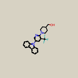 OCC1CCN(c2ncc(-n3c4ccccc4c4ccccc43)cc2C(F)(F)F)CC1